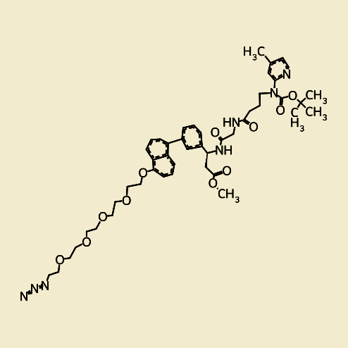 COC(=O)C[C@H](NC(=O)CNC(=O)CCCN(C(=O)OC(C)(C)C)c1cc(C)ccn1)c1cccc(-c2cccc3c(OCCOCCOCCOCCOCCN=[N+]=[N-])cccc23)c1